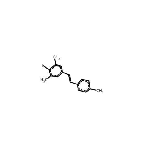 Cc1ccc(/C=C/c2cc(C)c(I)c(C)c2)cc1